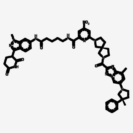 Cc1cc(N2CC[C@](C)(c3ccccc3)C2)cn2nc(C(=O)N3CC[C@@]4(CCN(c5cc([N+](=O)[O-])cc(C(=O)NCCCCC(=O)Nc6ccc7c(C8CCC(=O)NC8=O)nn(C)c7c6)n5)C4)C3)nc12